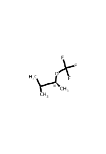 CC(C)[C@H](C)OC(F)(F)F